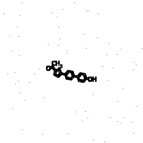 CC(=O)c1ccc(-c2ccc(-c3ccc(O)cc3)cc2)s1